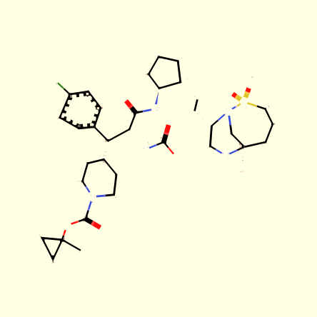 CC1(OC(=O)N2CCC([C@H](c3ccc(Cl)cc3)[C@@H](NC(=O)O)C(=O)N[C@H]3CCC[C@@H]3CC[C@H]3CN[C@@H]4CCCS(=O)(=O)N3C4)CC2)CC1